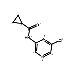 O=C(Nc1cncc(Cl)n1)C1CC1